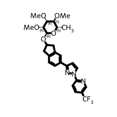 CO[C@@H]1[C@@H](OC)[C@H](C)O[C@@H](OC2Cc3ccc(-c4ccn(-c5ccc(C(F)(F)F)cn5)n4)cc3C2)[C@@H]1OC